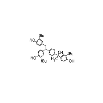 CC(C)(C)c1cc(CC(c2ccc(C(C)(C)c3ccc(O)c(C(C)(C)C)c3)cc2)c2ccc(O)c(C(C)(C)C)c2)ccc1O